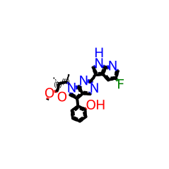 COC(=O)[C@H](C)[C@@H](C)n1cc(-c2ccccc2O)c2cnc(-c3c[nH]c4ncc(F)cc34)nc21